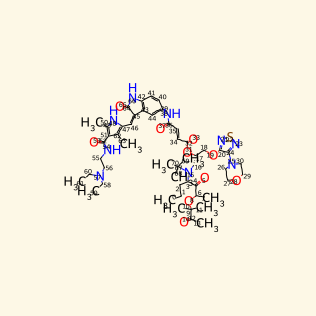 CCCC(C(=O)C(C)OC(C)(C)C(C)=O)N(C[C@@H](COc1nsnc1N1CCOCC1)OC(=O)/C=C/C(=O)Nc1ccc2c(c1)/C(=C/c1[nH]c(C)c(C(=O)NCCN(CC)CC)c1C)C(=O)N2)C(C)(C)C